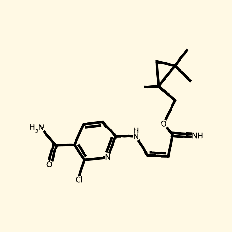 CC1(C)CC1(C)COC(=N)/C=C\Nc1ccc(C(N)=O)c(Cl)n1